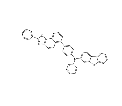 c1ccc(-c2nc3ccc4c(-c5ccc(N(c6ccccc6)c6ccc7c(c6)oc6ccccc67)cc5)cccc4c3o2)cc1